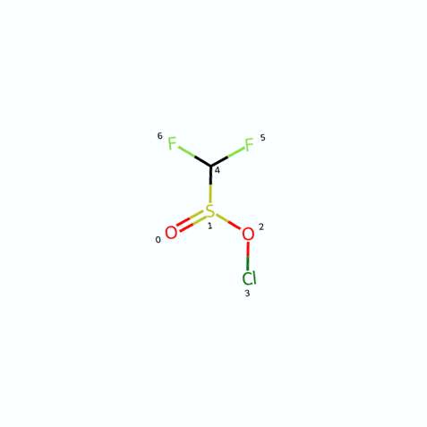 O=S(OCl)C(F)F